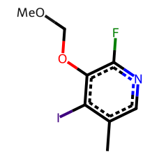 COCOc1c(F)ncc(C)c1I